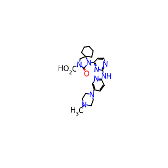 CN1CCN(c2ccc(Nc3nccc(N4C(=O)N(C(=O)O)CC45CCCCC5)n3)nc2)CC1